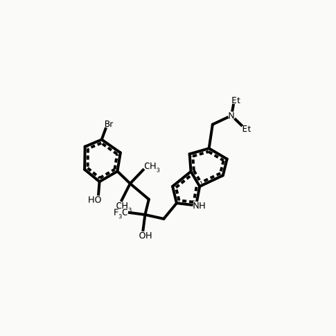 CCN(CC)Cc1ccc2[nH]c(CC(O)(CC(C)(C)c3cc(Br)ccc3O)C(F)(F)F)cc2c1